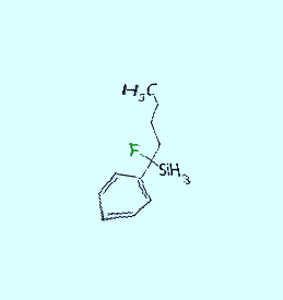 CCCCC(F)([SiH3])c1ccccc1